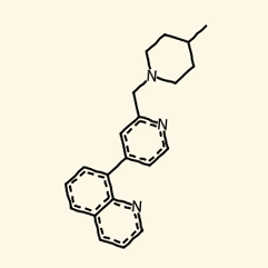 CC1CCN(Cc2cc(-c3cccc4cccnc34)ccn2)CC1